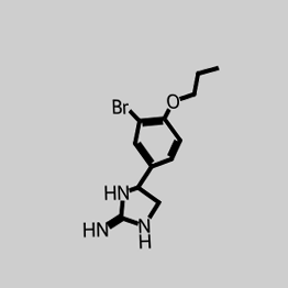 CCCOc1ccc(C2CNC(=N)N2)cc1Br